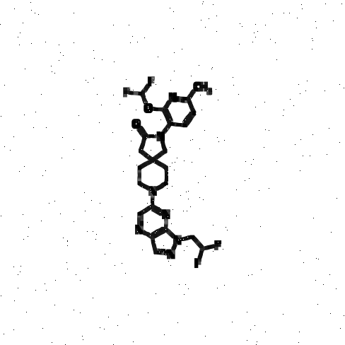 Cc1ccc(N2CC3(CCN(c4cnc5cnn(CC(F)F)c5n4)CC3)CC2=O)c(OC(F)F)n1